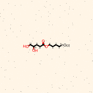 CCCCCCCCCCCCOC(=O)CCC(O)CO